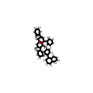 c1ccc(N(c2ccc(-c3cccc4ccccc34)cc2)c2cccc3sc4ccccc4c23)c(-c2ccc3sc4ccccc4c3c2)c1